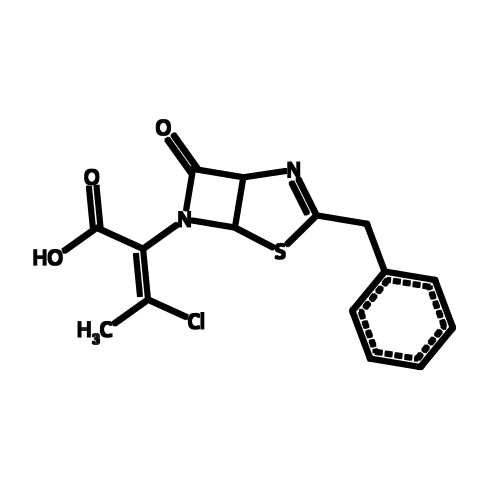 CC(Cl)=C(C(=O)O)N1C(=O)C2N=C(Cc3ccccc3)SC21